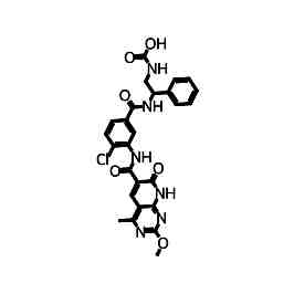 COc1nc(C)c2cc(C(=O)Nc3cc(C(=O)NC(CNC(=O)O)c4ccccc4)ccc3Cl)c(=O)[nH]c2n1